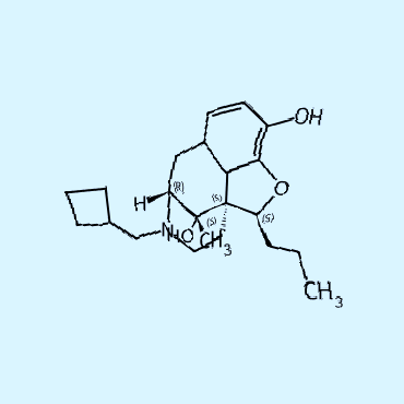 CCC[C@@H]1OC2=C(O)C=CC3C[C@H]4N(CC5CCC5)CC[C@@]1(C23)[C@]4(C)O